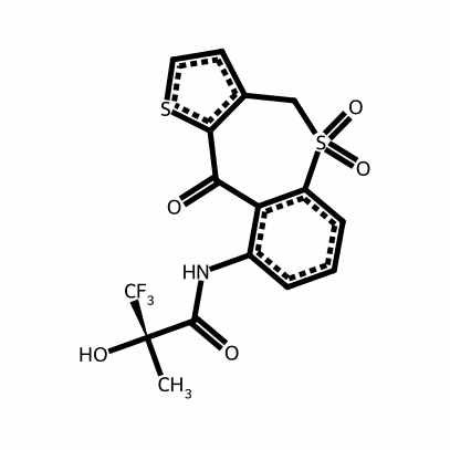 C[C@](O)(C(=O)Nc1cccc2c1C(=O)c1sccc1CS2(=O)=O)C(F)(F)F